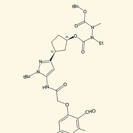 CCN(C(=O)O[C@@H]1CC[C@H](c2cc(NC(=O)COc3cc(OC)cc(O)c3C=O)n(C(C)(C)C)n2)C1)N(C)C(=O)OC(C)(C)C